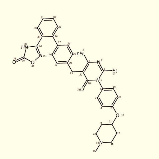 CCCc1nc(CC)n(-c2ccc(OC3CCN(C)CC3)cc2)c(=O)c1Cc1ccc(-c2ccccc2-c2noc(=O)[nH]2)cc1